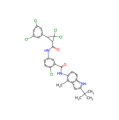 Cc1c(NC(=O)c2cc(NC(=O)C3C(c4cc(Cl)cc(Cl)c4)C3(Cl)Cl)ccc2Cl)ccc2[nH]c(C(C)(C)C)cc12